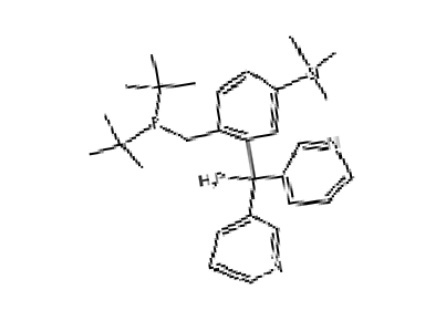 CC(C)(C)P(Cc1ccc([Si](C)(C)C)cc1C(P)(c1cccnc1)c1cccnc1)C(C)(C)C